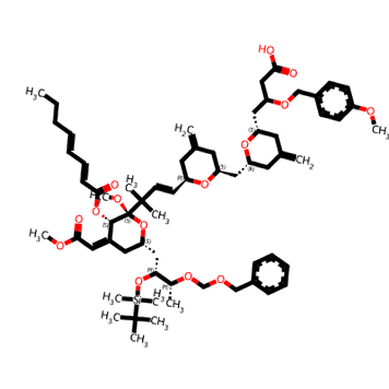 C=C1C[C@H](C[C@@H]2CC(=C)C[C@H](C=CC(C)(C)[C@]3(OC)O[C@H](C[C@@H](O[Si](C)(C)C(C)(C)C)[C@@H](C)OCOCc4ccccc4)CC(=CC(=O)OC)[C@@H]3OC(=O)C=CC=CCCC)O2)O[C@H](CC(CC(=O)O)OCc2ccc(OC)cc2)C1